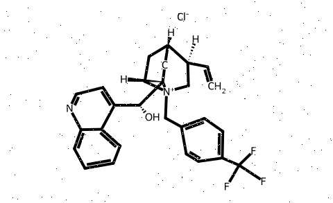 C=C[C@H]1C[N+]2(Cc3ccc(C(F)(F)F)cc3)CC[C@H]1C[C@H]2[C@H](O)c1ccnc2ccccc12.[Cl-]